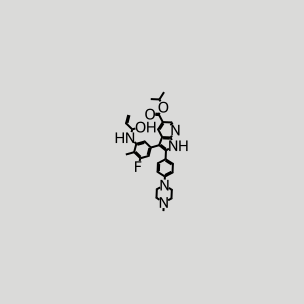 C=CC(O)Nc1cc(-c2c(-c3ccc(N4CCN(C)CC4)cc3)[nH]c3ncc(C(=O)OC(C)C)cc23)cc(F)c1C